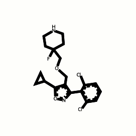 FC1(COCc2c(-c3c(Cl)cccc3Cl)noc2C2CC2)CCNCC1